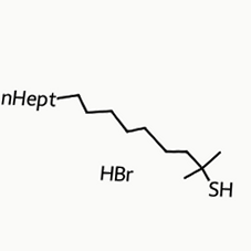 Br.CCCCCCCCCCCCCCC(C)(C)S